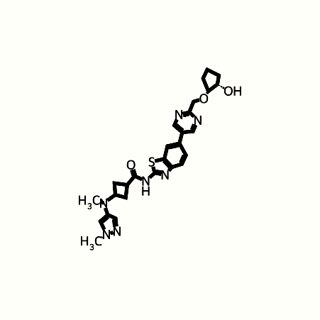 CN(c1cnn(C)c1)C1CC(C(=O)Nc2nc3ccc(-c4cnc(CO[C@H]5CCC[C@@H]5O)nc4)cc3s2)C1